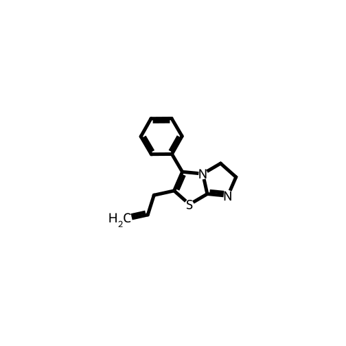 C=CCC1=C(c2ccccc2)N2CCN=C2S1